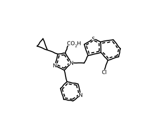 O=C(O)c1c(C2CC2)nc(-c2cccnc2)n1Cc1csc2cccc(Cl)c12